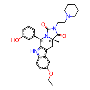 CCOc1ccc2[nH]c3c(c2c1)C[C@@]1(C)C(=O)N(CCN2CCCCC2)C(=O)N1[C@@H]3c1cccc(O)c1